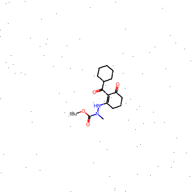 CN(NC1=C(C(=O)C2CCCCC2)C(=O)CCC1)C(=O)OC(C)(C)C